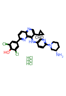 Cl.Cl.Cl.N[C@H]1CCCN(c2ccc(Nc3c(C4(C=O)CC4)cnc4ccc(-c5cc(Cl)c(O)c(Cl)c5)nc34)cn2)C1